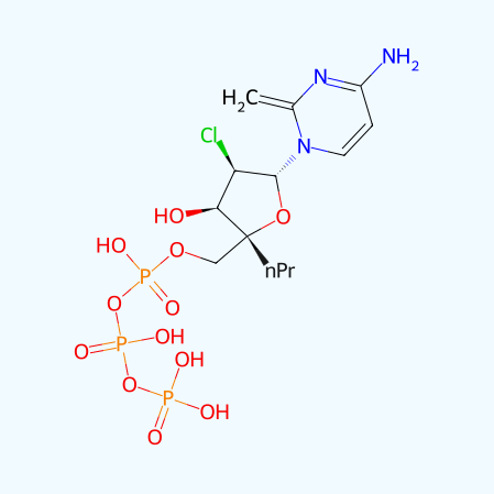 C=C1N=C(N)C=CN1[C@@H]1O[C@](CCC)(COP(=O)(O)OP(=O)(O)OP(=O)(O)O)[C@@H](O)[C@H]1Cl